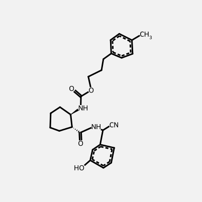 Cc1ccc(CCCOC(=O)N[C@@H]2CCCC[C@H]2C(=O)NC(C#N)c2cccc(O)c2)cc1